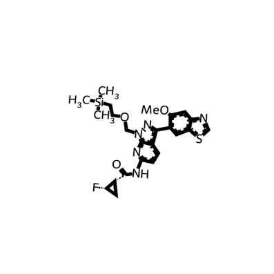 COc1cc2ncsc2cc1-c1nn(COCC[Si](C)(C)C)c2nc(NC(=O)[C@@H]3C[C@@H]3F)ccc12